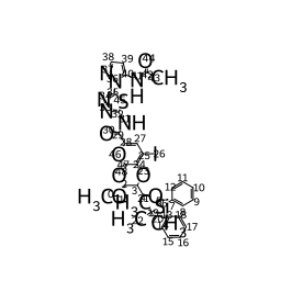 COCC(CO[Si](c1ccccc1)(c1ccccc1)C(C)(C)C)Oc1c(I)cc(C(=O)Nc2nnc(-n3nccc3NC(C)=O)s2)oc1=O